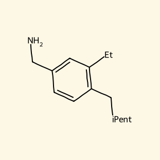 CCCC(C)Cc1ccc(CN)cc1CC